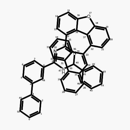 c1ccc(-c2cccc(C3=NC(c4cccc5oc6cccc(-c7cc8ccccc8c8ccccc78)c6c45)=NC(c4ccccc4)N3)c2)cc1